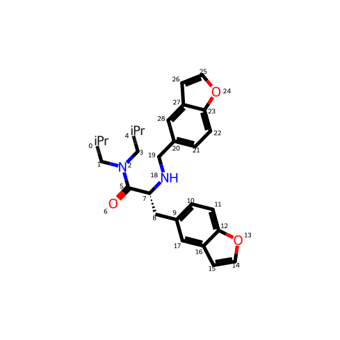 CC(C)CN(CC(C)C)C(=O)[C@@H](Cc1ccc2occc2c1)NCc1ccc2occc2c1